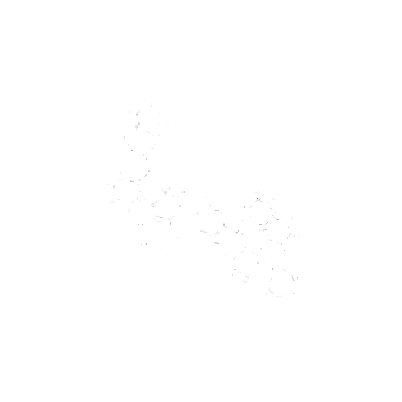 CC1(C)c2ccccc2-c2cc(N(c3ccc(-c4cc5cc(-c6ccc7ccccc7c6)c6ccccc6c5c5c4CCC=C5)cc3)c3cccc4ccccc34)ccc21